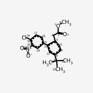 COC(=O)Cc1ccc(C(C)(C)C)cc1-c1ccc(Cl)c([N+](=O)[O-])c1